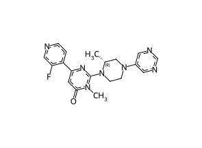 C[C@@H]1CN(c2cncnc2)CCN1c1nc(-c2ccncc2F)cc(=O)n1C